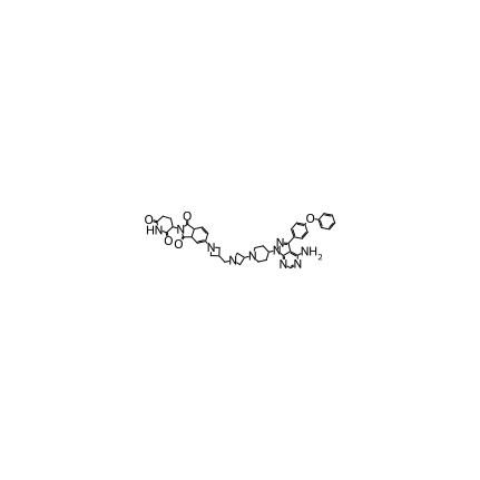 Nc1ncnc2c1c(-c1ccc(Oc3ccccc3)cc1)nn2C1CCN(C2CN(CC3CN(C4=CC5C(=O)N(C6CCC(=O)NC6=O)C(=O)C5C=C4)C3)C2)CC1